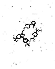 CS(=O)(=O)N1CCc2c(c(-c3ccc(C(F)(F)F)c(SCC(=O)N4CCC(C(=O)O)CC4)c3)nn2CCCN2CCC(N3CCCC3=O)CC2)C1